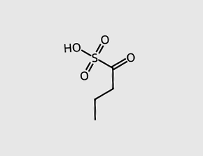 CCCC(=O)S(=O)(=O)O